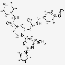 CCOc1ccc(CNC(=O)CC2CN(C(=O)NC3CCCCC3)CCN2c2cc(C)nc(-n3ccnc3)n2)cc1